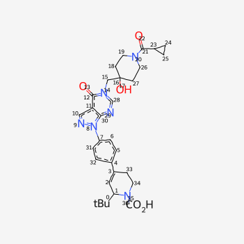 CC(C)(C)C1C=C(c2ccc(-n3ncc4c(=O)n(CC5(O)CCN(C(=O)C6CC6)CC5)cnc43)cc2)CCN1C(=O)O